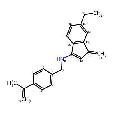 C=C(C)c1ccc(CNC2=CC(=C)c3cc(CC)ccc32)cc1